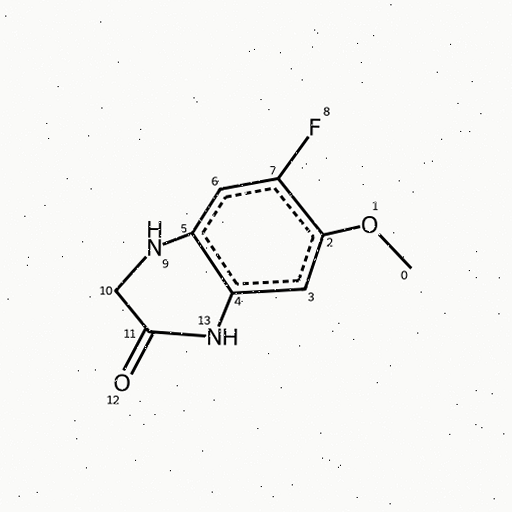 COc1cc2c(cc1F)NCC(=O)N2